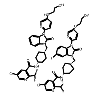 O=C(N[C@H]1CC[C@H](Cn2c(=O)n(-c3ccc(NCCO)cn3)c3ccccc32)CC1)c1cc(Cl)cnc1C(F)F.O=C(N[C@H]1CC[C@H](Cn2c(=O)n(-c3ccc(OCCO)cn3)c3ccc(F)cc32)CC1)c1cc(Cl)cnc1C(F)F